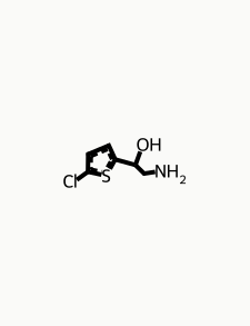 NCC(O)c1ccc(Cl)s1